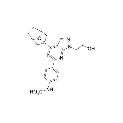 O=C(O)Nc1ccc(-c2nc(N3CC4CCC(C3)O4)c3cnn(CCO)c3n2)cc1